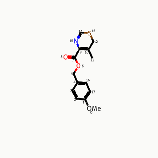 COc1ccc(COC(=O)C2=C(C)CSC=N2)cc1